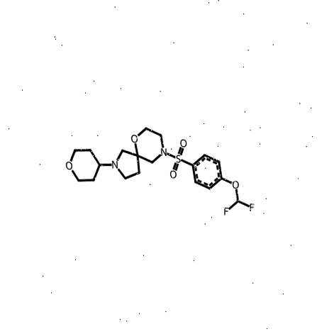 O=S(=O)(c1ccc(OC(F)F)cc1)N1CCOC2(CCN(C3CCOCC3)C2)C1